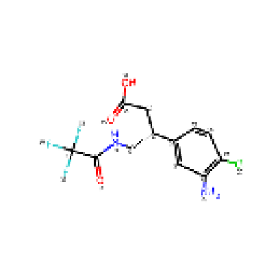 Nc1cc([C@H](CNC(=O)C(F)(F)F)CC(=O)O)ccc1Cl